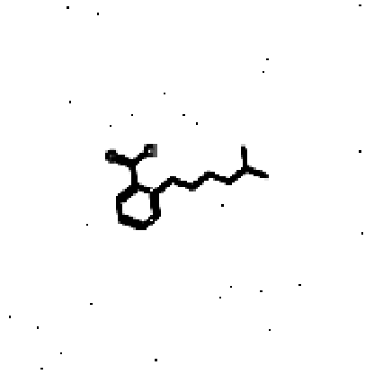 CC(C)CCCCc1ccccc1C(=O)Cl